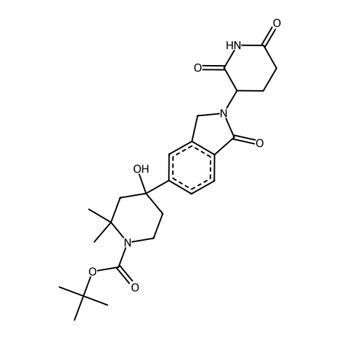 CC(C)(C)OC(=O)N1CCC(O)(c2ccc3c(c2)CN(C2CCC(=O)NC2=O)C3=O)CC1(C)C